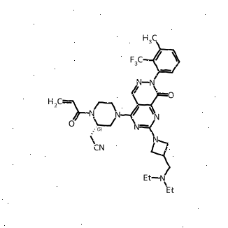 C=CC(=O)N1CCN(c2nc(N3CC(CN(CC)CC)C3)nc3c(=O)n(-c4cccc(C)c4C(F)(F)F)ncc23)C[C@@H]1CC#N